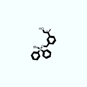 C[C@H](CO)c1cccc(CO[Si](c2ccccc2)(c2ccccc2)C(C)(C)C)c1